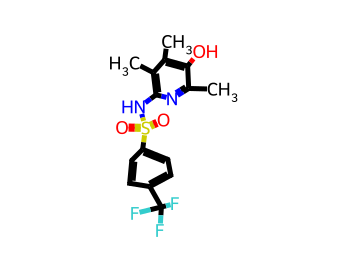 Cc1nc(NS(=O)(=O)c2ccc(C(F)(F)F)cc2)c(C)c(C)c1O